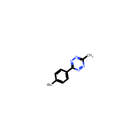 Cc1nnc(-c2ccc(C(C)(C)C)cc2)nn1